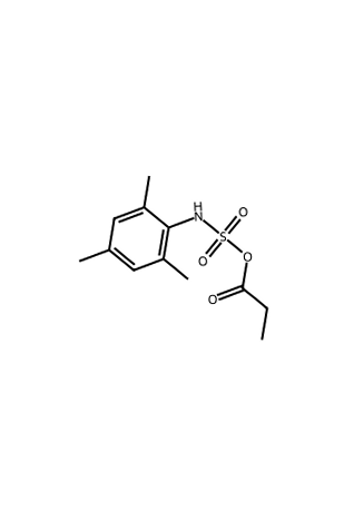 CCC(=O)OS(=O)(=O)Nc1c(C)cc(C)cc1C